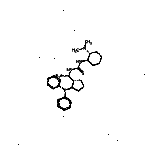 C[C@@H](NC(=S)N[C@@H]1CCCC[C@H]1N(C)C)[C@@H]1CCCC1P(c1ccccc1)c1ccccc1